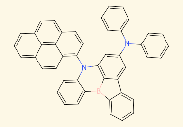 c1ccc(N(c2ccccc2)c2cc3c4c(c2)N(c2ccc5ccc6cccc7ccc2c5c67)c2ccccc2B4c2ccccc2-3)cc1